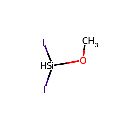 CO[SiH](I)I